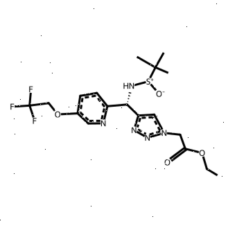 CCOC(=O)Cn1cc([C@@H](N[S+]([O-])C(C)(C)C)c2ccc(OCC(F)(F)F)cn2)nn1